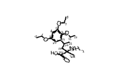 CCOc1cc(OCC)c(OCC)c(C(C)CC(C)(N)C(=O)O)c1